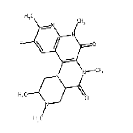 Cc1nc2c(cc1F)c1c(c(=O)n2C)N(C(F)(F)F)C(=O)C2CN(C)C(C)CN12